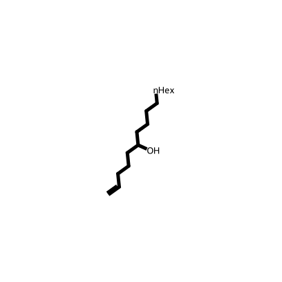 C=CCCCC(O)CCCCCCCCCC